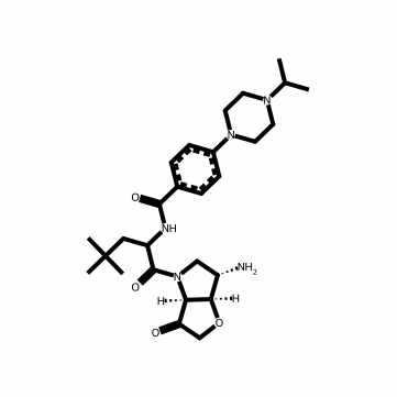 CC(C)N1CCN(c2ccc(C(=O)NC(CC(C)(C)C)C(=O)N3C[C@H](N)[C@H]4OCC(=O)[C@H]43)cc2)CC1